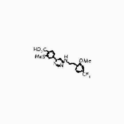 COc1cc(C(F)(F)F)ccc1CCNc1cc(-c2ccc(C(=O)O)c(SC)c2)ncn1